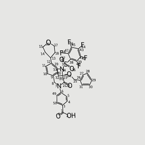 O=C(O)c1ccc(N(Cc2ccc(C3CCOCC3)cc2)C(=O)[C@]2(OCc3ccccc3)CCN2S(=O)(=O)c2c(F)c(F)c(F)c(F)c2F)cc1